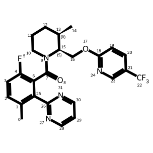 Cc1ccc(F)c(C(=O)N2CCC[C@@H](C)[C@H]2COc2ccc(C(F)(F)F)cn2)c1-c1ncccn1